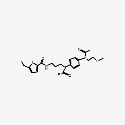 CCc1ccc(C(=O)NCCCN(C(=O)O)c2ccc(N(CCOC)C(C)=O)cc2)s1